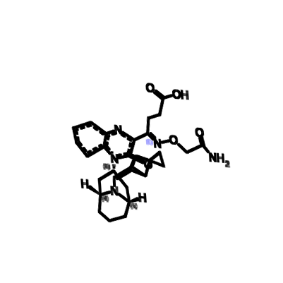 NC(=O)CO/N=C(\CCC(=O)O)c1nc2ccccc2n([C@H]2C[C@H]3CCC[C@@H](C2)N3C=C2C3CC2C32CC2)c1=O